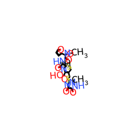 CO/N=C(\C(=O)N[C@@H]1C(=O)N2C(C(=O)O)=C(CSc3nc(=O)c(=O)[nH]n3C)CS[C@H]12)c1ccco1